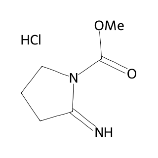 COC(=O)N1CCCC1=N.Cl